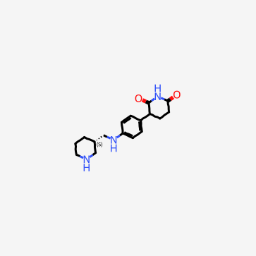 O=C1CCC(c2ccc(NC[C@H]3CCCNC3)cc2)C(=O)N1